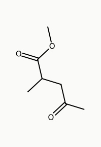 COC(=O)C(C)CC(C)=O